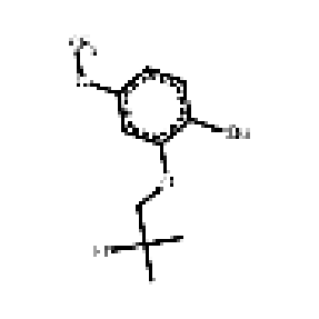 CCC(C)(C)COc1cc(OC(F)(F)F)ccc1C(C)(C)C